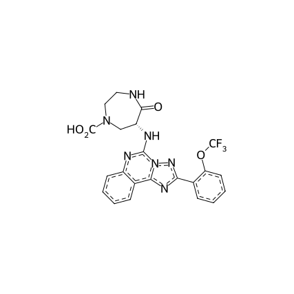 O=C1NCCN(C(=O)O)C[C@H]1Nc1nc2ccccc2c2nc(-c3ccccc3OC(F)(F)F)nn12